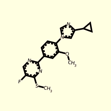 COc1cc(-c2ncc(F)c(SC)n2)ccc1-n1cnc(C2CC2)c1